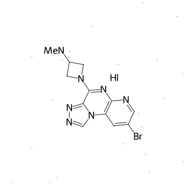 CNC1CN(c2nc3ncc(Br)cc3n3cnnc23)C1.I